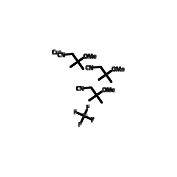 F[B-](F)(F)F.[C-]#[N+]CC(C)(C)OC.[C-]#[N+]CC(C)(C)OC.[C-]#[N+]CC(C)(C)OC.[Cu+]